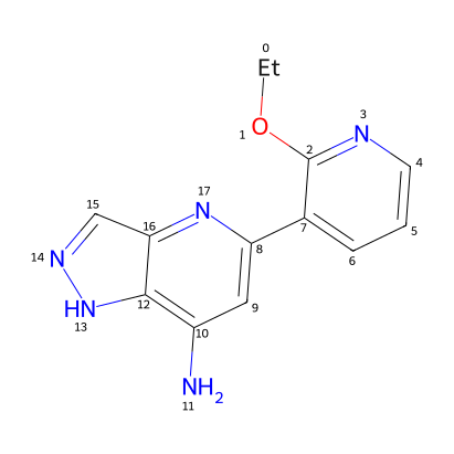 CCOc1ncccc1-c1cc(N)c2[nH]ncc2n1